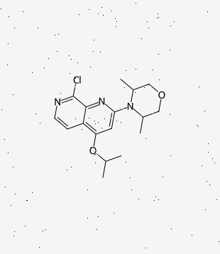 CC(C)Oc1cc(N2C(C)COCC2C)nc2c(Cl)nccc12